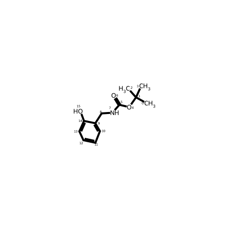 CC(C)(C)OC(=O)NCc1ccccc1O